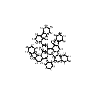 c1ccc2c(c1)-c1cc3ccccc3cc1CCC2c1ccc2oc3ccccc3c2c1-c1nc(-c2cccc3c2oc2ccccc23)nc(-c2cccc3c2oc2ccccc23)n1